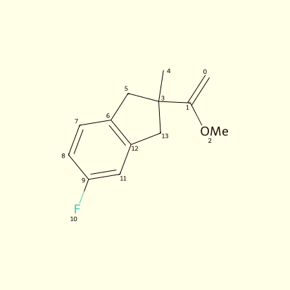 C=C(OC)C1(C)Cc2ccc(F)cc2C1